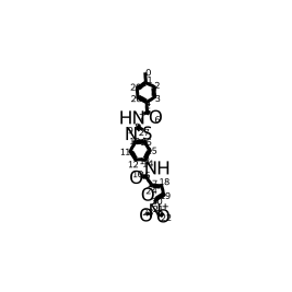 Cc1ccc(C(=O)Nc2nc3ccc(NC(=O)c4ccc([N+](=O)[O-])o4)cc3s2)cc1